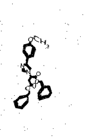 COc1ccc(-c2cn(C(CC(=O)OCc3ccccc3)C(=O)OCc3ccccc3)cn2)cc1